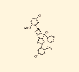 COc1ccc(Cl)cc1-n1cc(C(O)(c2ccccc2)c2cn(-c3cc(Cl)ccc3C)nn2)nn1